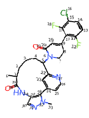 CC1CCCC(N2CCC(c3c(F)ccc(Cl)c3F)=CC2=O)c2cc(ccn2)-c2c(cnn2C)NC1=O